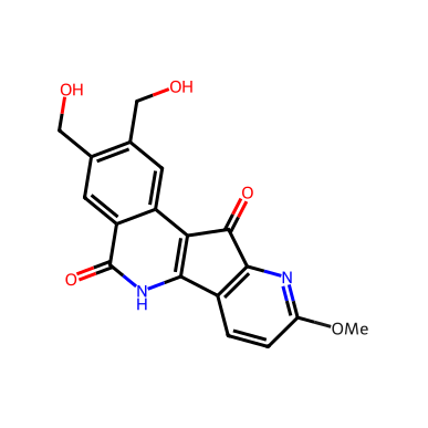 COc1ccc2c(n1)C(=O)c1c-2[nH]c(=O)c2cc(CO)c(CO)cc12